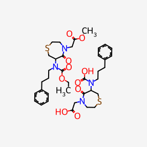 CCOC(=O)N(CCCc1ccccc1)C1CSCCN(CC(=O)OC)C1=O.O=C(O)CN1CCSCC(N(CCCc2ccccc2)C(=O)O)C1=O